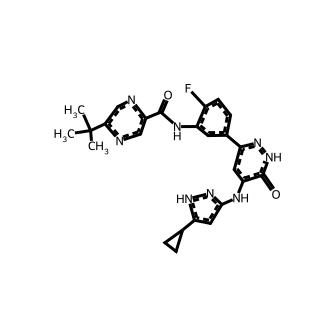 CC(C)(C)c1cnc(C(=O)Nc2cc(-c3cc(Nc4cc(C5CC5)[nH]n4)c(=O)[nH]n3)ccc2F)cn1